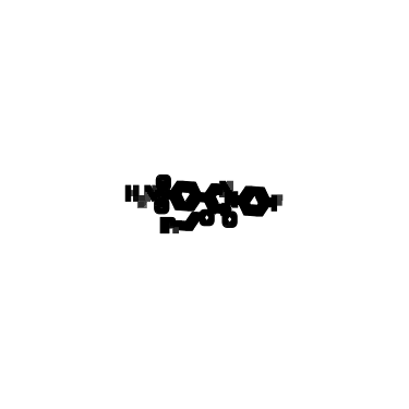 CC(C)CCOc1c(-c2ccc(S(N)(=O)=O)cc2)cnn(-c2ccc(F)cc2)c1=O